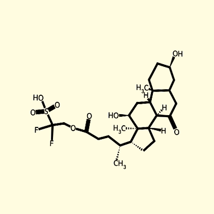 C[C@H](CCC(=O)OCC(F)(F)S(=O)(=O)O)[C@H]1CC[C@H]2[C@@H]3C(=O)CC4C[C@H](O)CC[C@]4(C)[C@H]3C[C@H](O)[C@]12C